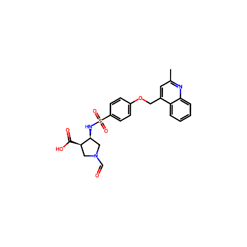 Cc1cc(COc2ccc(S(=O)(=O)N[C@H]3CN(C=O)C[C@H]3C(=O)O)cc2)c2ccccc2n1